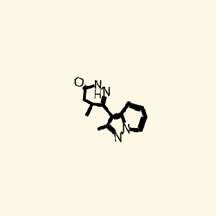 Cc1nn2ccccc2c1C1=NNC(=O)CC1C